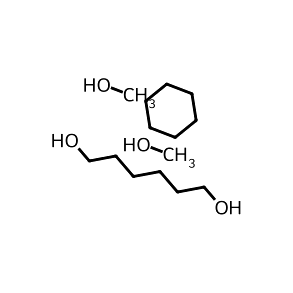 C1CCCCC1.CO.CO.OCCCCCCO